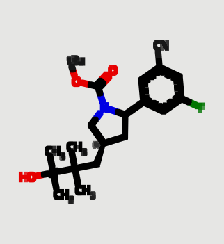 CC(C)(C)OC(=O)N1C[C@H](CC(C)(C)[Si](C)(C)O)CC1c1cc(F)cc(C#N)c1